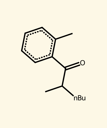 CCCCC(C)C(=O)c1ccccc1C